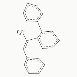 FC(F)(F)C(=Cc1ccccc1)c1ccccc1-c1ccccc1